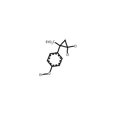 CCOC(=O)C1(c2ccc(OCC)cc2)CC1(Cl)Cl